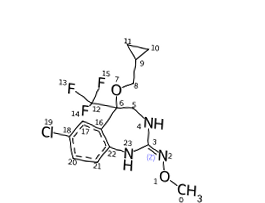 CO/N=C1/NCC(OCC2CC2)(C(F)(F)F)c2cc(Cl)ccc2N1